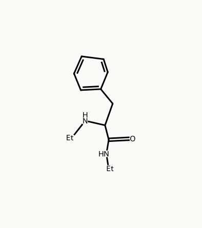 CCNC(=O)C(Cc1ccccc1)NCC